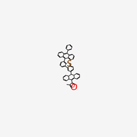 Cc1cocc1C1=C2C=CC=CC2C(c2ccc3sc4c(-c5c6ccccc6c(-c6ccccc6)c6ccccc56)cccc4c3c2)C2C=CC=CC12